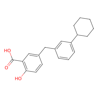 O=C(O)c1cc(Cc2cccc(C3CCCCC3)c2)ccc1O